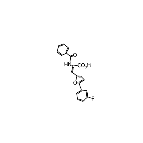 O=C(O)/C(=C\c1ccc(-c2cccc(F)c2)o1)NC(=O)c1ccccc1